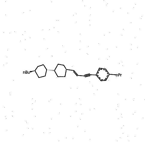 CCCC[C@H]1CC[C@H](C2CCC(/C=C/C#Cc3ccc(CCC)cc3)CC2)CC1